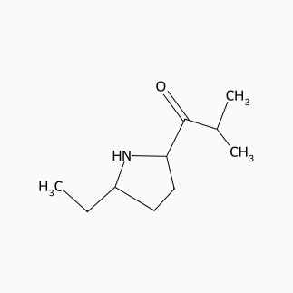 CCC1CCC(C(=O)C(C)C)N1